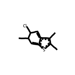 Cc1sc2c(c1C)=CC(Cl)C(C)C=2